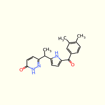 Cc1ccc(C(=O)c2ccc(C(C)c3ccc(=O)[nH]n3)[nH]2)cc1C